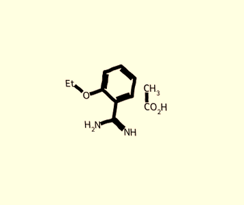 CC(=O)O.CCOc1ccccc1C(=N)N